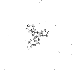 Nc1ncc(-c2nc(N3C4CCC3COC4)nc(N3C4CCC3COC4)n2)c(C(F)F)n1